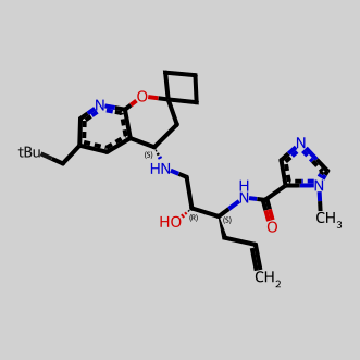 C=CC[C@H](NC(=O)c1cncn1C)[C@H](O)CN[C@H]1CC2(CCC2)Oc2ncc(CC(C)(C)C)cc21